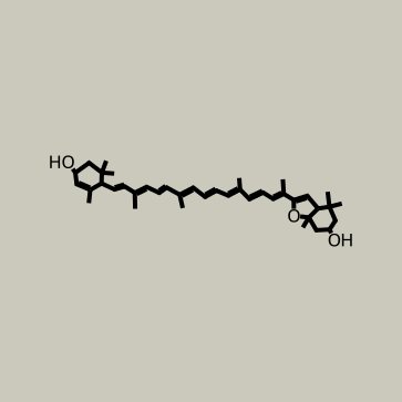 CC1=CC(O)CC(C)(C)C1/C=C/C(C)=C/C=C/C(C)=C/C=C/C=C(C)/C=C/C=C(\C)C1=CC2C(C)(C)CC(O)CC2(C)O1